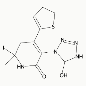 CC1(I)CC(C2=CCCS2)=C(N2N=NNC2O)C(=O)N1